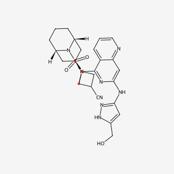 CN(c1nc(Nc2cc(CO)[nH]n2)cc2ncccc12)[C@@H]1C[C@H]2CCC[C@@H](C1)N2S(=O)(=O)N1CC(C#N)C1